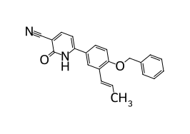 C/C=C/c1cc(-c2ccc(C#N)c(=O)[nH]2)ccc1OCc1ccccc1